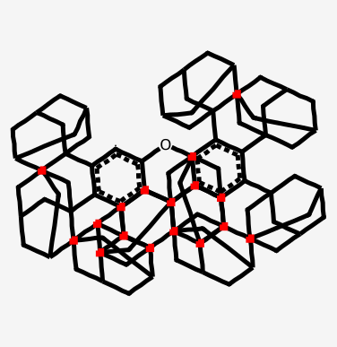 [c]1c(Oc2c(C34CC5CC(CC(C5)C3)C4)c(C34CC5CC(CC(C5)C3)C4)c(C34CC5CC(CC(C5)C3)C4)c(C34CC5CC(CC(C5)C3)C4)c2C23CC4CC(CC(C4)C2)C3)c(C23CC4CC(CC(C4)C2)C3)c(C23CC4CC(CC(C4)C2)C3)c(C23CC4CC(CC(C4)C2)C3)c1C12CC3CC(CC(C3)C1)C2